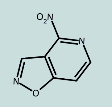 O=[N+]([O-])c1nccc2oncc12